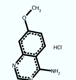 COc1ccc2c(N)ncnc2c1.Cl